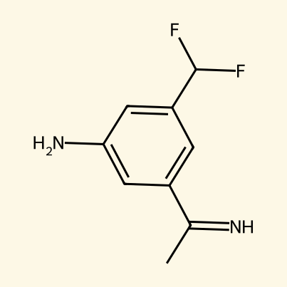 CC(=N)c1cc(N)cc(C(F)F)c1